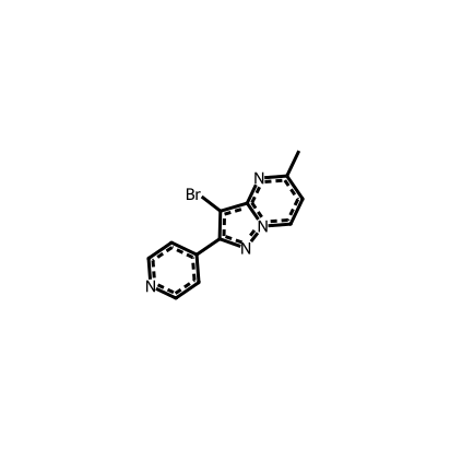 Cc1ccn2nc(-c3ccncc3)c(Br)c2n1